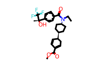 CCN(C(=O)c1ccc([C@](C)(O)C(F)(F)F)cc1)[C@H]1CC[C@H](C2C=CC(C(=O)OC)=CC2)CC1